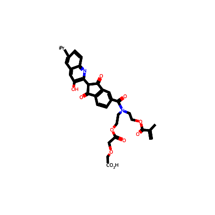 C=C(C)C(=O)OCCN(CCOC(=O)COCC(=O)O)C(=O)c1ccc2c(c1)C(=O)C(c1nc3ccc(C(C)C)cc3cc1O)C2=O